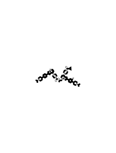 CC(C[n+]1ccc(N2CCN(C(=O)C3CC3)CC2)c2cc(-c3ccc(C4CCN(C(C)C)CC4)c(F)c3)cn21)OC(=O)N1CCN(c2ccnn3cc(-c4ccc(C5CCN(C(C)C)CC5)cc4)cc23)CC1